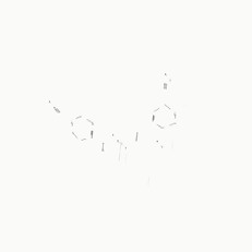 Cc1c(NC(CCO)C(=O)NNC(=O)c2ccc(C#N)cc2)ccc(C#N)c1Cl